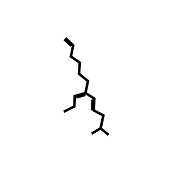 C=CCCCCC(C=CCC(C)C)=CCC